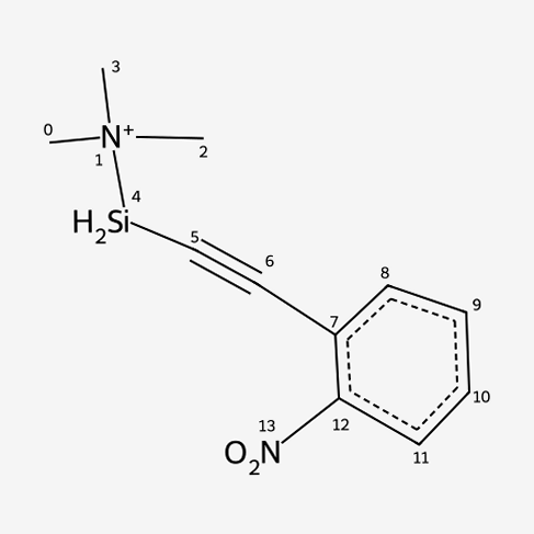 C[N+](C)(C)[SiH2]C#Cc1ccccc1[N+](=O)[O-]